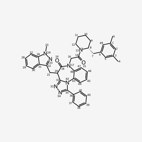 Cc1cc(C)cc(C[C@H]2CCCCN2C(=O)CN2C(=O)C(Cc3nn(C)c4ccccc34)c3nnc(-c4ccccc4)n3-c3ccccc32)c1